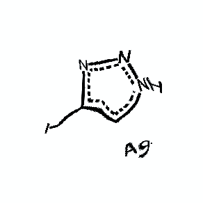 Ic1c[nH]nn1.[Ag]